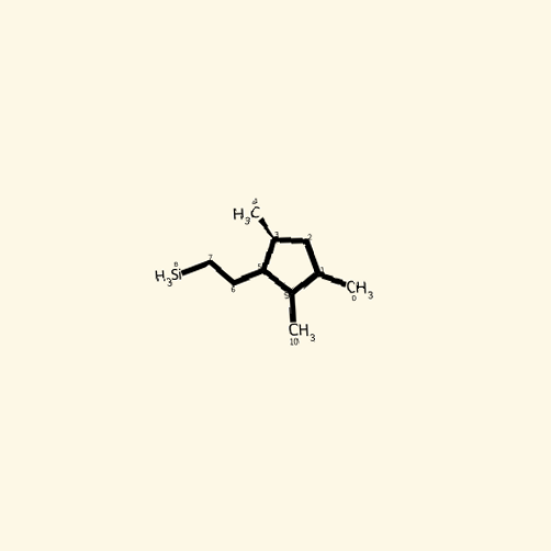 CC1C[C@H](C)C(CC[SiH3])C1C